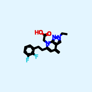 C=C1C=C(CCc2cccc(F)c2F)N(CC(=O)O)c2nn(CC)cc21